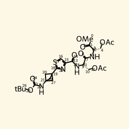 COC(=O)[C@H](COC(C)=O)NC(=O)[C@H](COC(C)=O)NC(=O)c1csc(C23CC(NC(=O)OC(C)(C)C)(C2)C3)n1